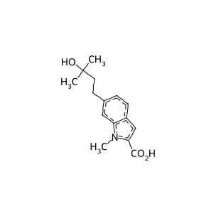 Cn1c(C(=O)O)cc2ccc(CCC(C)(C)O)cc21